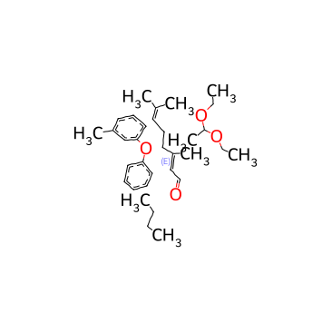 CC(C)=CCC/C(C)=C/C=O.CCCC.CCOC(C)OCC.Cc1cccc(Oc2ccccc2)c1